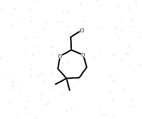 CC1(C)CCOC(CCl)OC1